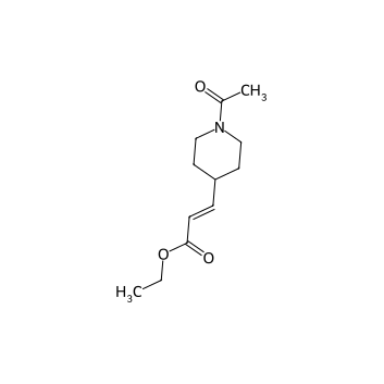 CCOC(=O)/C=C/C1CCN(C(C)=O)CC1